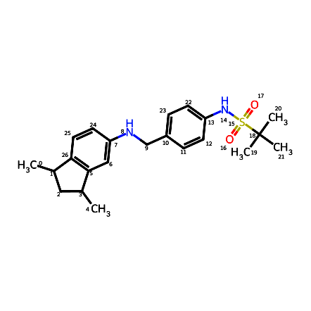 CC1CC(C)c2cc(NCc3ccc(NS(=O)(=O)C(C)(C)C)cc3)ccc21